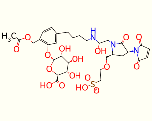 CC(=O)OCc1ccc(CCCCNC(O)CN2C(=O)[C@@H](N3C(=O)C=CC3=O)C[C@H]2COCCS(=O)(=O)O)cc1O[C@@H]1O[C@H](C(=O)O)[C@@H](O)[C@H](O)[C@H]1O